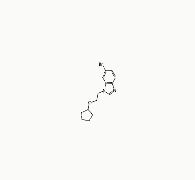 Brc1ccc2ncn(CCOC3CCCC3)c2c1